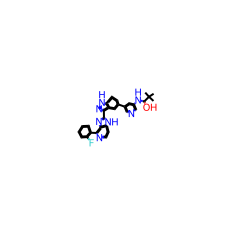 CC(C)(C)C(O)Nc1cncc(-c2ccc3[nH]nc(-c4nc5c(-c6ccccc6F)nccc5[nH]4)c3c2)c1